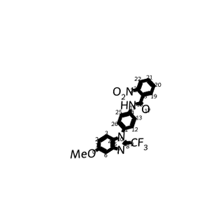 COc1ccc2c(c1)nc(C(F)(F)F)n2-c1ccc(NC(=O)c2ccccc2[N+](=O)[O-])cc1